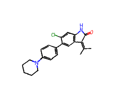 CC(C)=C1C(=O)Nc2cc(Cl)c(-c3ccc(N4CCCCC4)cc3)cc21